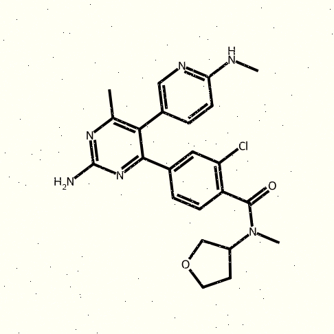 CNc1ccc(-c2c(C)nc(N)nc2-c2ccc(C(=O)N(C)C3CCOC3)c(Cl)c2)cn1